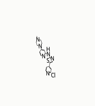 CN1CCN(c2ccnc(Nc3ncc(-c4ccnc(Cl)c4)s3)c2)CC1